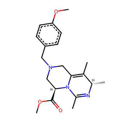 COC(=O)[C@H]1CN(Cc2ccc(OC)cc2)CC2=C(C)[C@H](C)N=C(C)N21